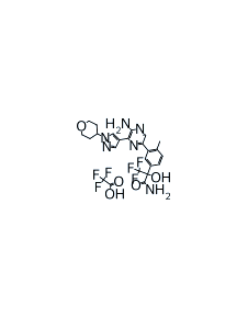 Cc1ccc(C(O)(C(N)=O)C(F)(F)F)cc1-c1cnc(N)c(-c2cnn(C3CCOCC3)c2)n1.O=C(O)C(F)(F)F